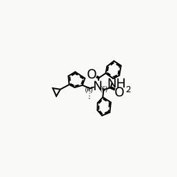 C[C@H](c1cccc(C2CC2)c1)N(C(=O)c1ccccc1)[C@H](C(N)=O)c1ccccc1